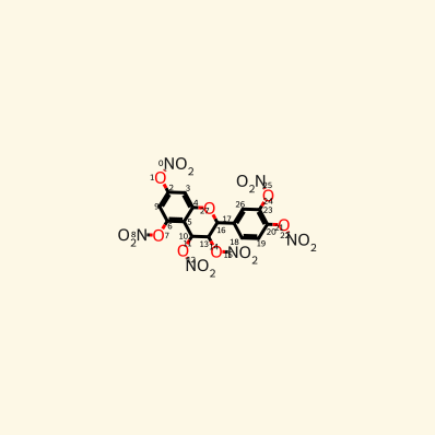 O=[N+]([O-])Oc1cc2c(c(O[N+](=O)[O-])c1)C(O[N+](=O)[O-])C(O[N+](=O)[O-])C(c1ccc(O[N+](=O)[O-])c(O[N+](=O)[O-])c1)O2